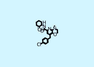 CN1CCOc2c(Cc3ccc(Cl)cc3)cc(C(=O)N[C@H]3CCCC[C@@H]3O)nc21